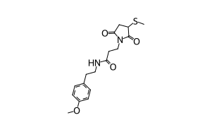 COc1ccc(CCNC(=O)CCN2C(=O)CC(SC)C2=O)cc1